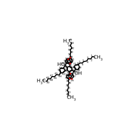 CCCCCCCCc1ccc(C(O)(c2ccc(CCCCCCCC)cc2)c2cc(-c3ccccc3)c(C(O)(c3ccc(CCCCCCCC)cc3)c3ccc(CCCCCCCC)cc3)cc2-c2ccccc2)cc1